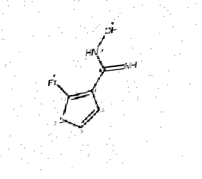 CCc1sccc1C(=N)NO